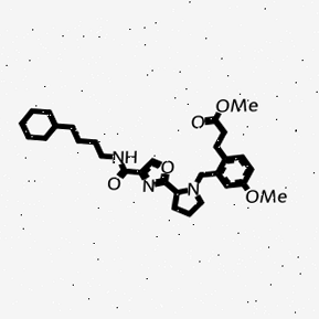 COC(=O)CCc1ccc(OC)cc1CN1CCCC1c1nc(C(=O)NCCCCC2CCCCC2)co1